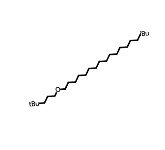 CCC(C)CCCCCCCCCCCCCCCOCCCC(C)(C)C